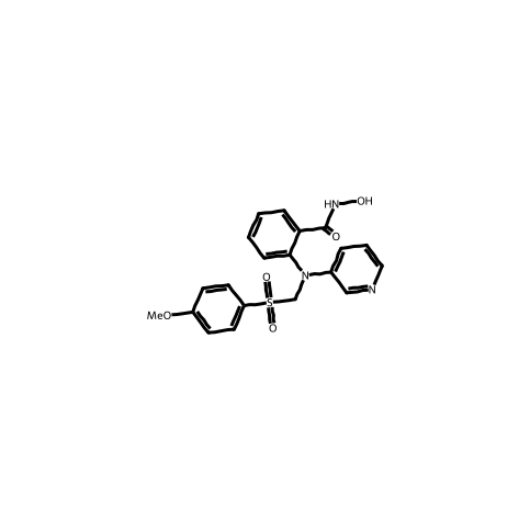 COc1ccc(S(=O)(=O)CN(c2cccnc2)c2ccccc2C(=O)NO)cc1